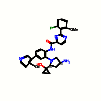 COc1cccc(F)c1-c1nccc(C(=O)Nc2ccc(-c3cnccc3C#N)cc2N2C[C@@H](N)C[C@H]2C2(O)CC2)n1